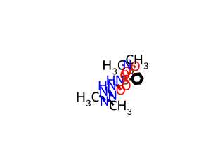 Cc1nc(C)nc(NC(=O)NS(=O)(=O)c2ccccc2S(=O)(=O)N(C)C)n1